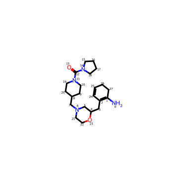 NC1=C(CC2CN(CC3CCN(C(=O)N4CCCC4)CC3)CCO2)C=CCC1